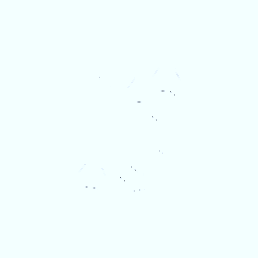 CC(F)c1cc(N2CCCN(Cc3ccn(-c4ccccc4)n3)CC2)c2ncccc2c1